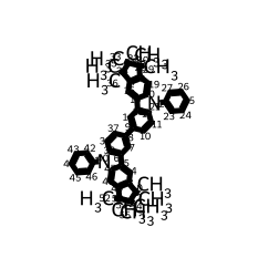 CC1(C)c2cc3c4cc(-c5ccc6c(c5)c5cc7c(cc5n6-c5ccccc5)C(C)(C)C(C)(C)C7(C)C)ccc4n(-c4ccccc4)c3cc2C(C)(C)C1(C)C